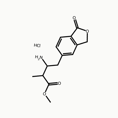 COC(=O)C(C)C(N)Cc1ccc2c(c1)COC2=O.Cl